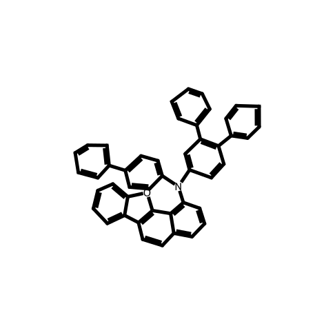 c1ccc(-c2ccc(N(c3ccc(-c4ccccc4)c(-c4ccccc4)c3)c3cccc4ccc5c6ccccc6oc5c34)cc2)cc1